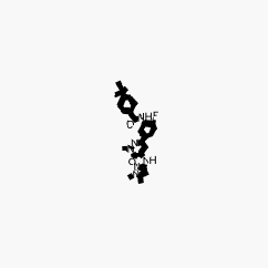 Cc1cc(Nc2cc(-c3ccc(F)c(NC(=O)c4ccc(C(C)(C)C)cc4)c3)nn(C)c2=O)nn1C